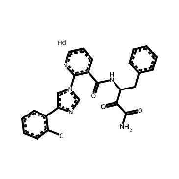 Cl.NC(=O)C(=O)C(Cc1ccccc1)NC(=O)c1cccnc1-n1cnc(-c2ccccc2Cl)c1